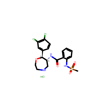 CS(=O)(=O)Nc1ccccc1C(=O)N[C@@H]1CNCCO[C@H]1c1ccc(Cl)c(Cl)c1.Cl